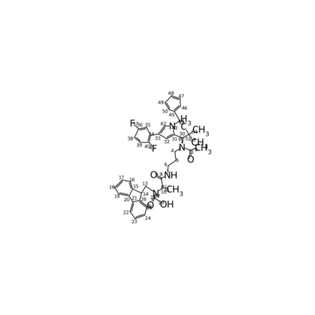 CC(=O)N(CCCNC(=O)[C@H](C)N(CC1c2ccccc2-c2ccccc21)C(=O)O)[C@@H](c1cc(-c2cc(F)ccc2F)cn1Cc1ccccc1)C(C)(C)C